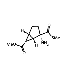 COC(=O)[C@H]1[C@@H]2CC[C@@](N)(C(=O)SC)[C@@H]21